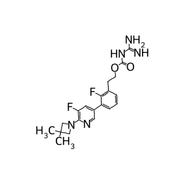 CC1(C)CN(c2ncc(-c3cccc(CCOC(=O)NC(=N)N)c3F)cc2F)C1